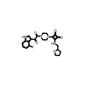 O=C(C(=O)N1CCN(c2c(NCC3CCCO3)c(=O)c2=O)CC1)c1c[nH]c2cccc(F)c12